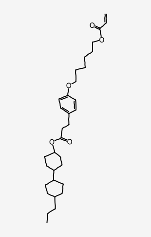 C=CC(=O)OCCCCCCOc1ccc(CCC(=O)OC2CCC(C3CCC(CCC)CC3)CC2)cc1